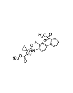 CC(C)(C)OC(=O)NC1(C(=O)Nc2ccc(-c3ccccc3S(C)(=O)=O)cc2F)CC1